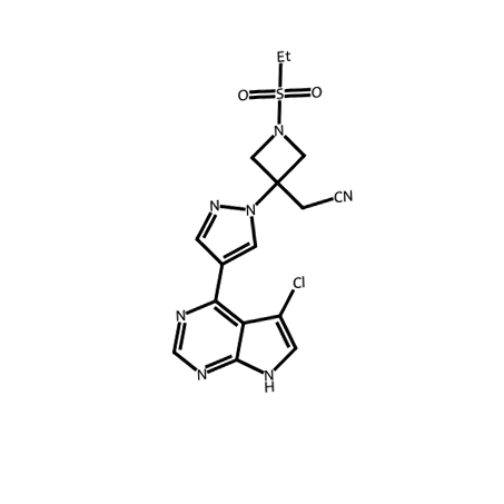 CCS(=O)(=O)N1CC(CC#N)(n2cc(-c3ncnc4[nH]cc(Cl)c34)cn2)C1